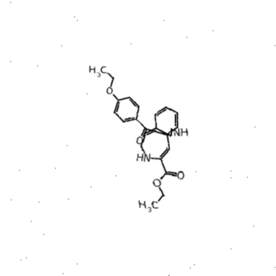 CCOC(=O)C1=CC23C(=CCN1)C=CC=C2NCC3C(=O)c1ccc(OCC)cc1